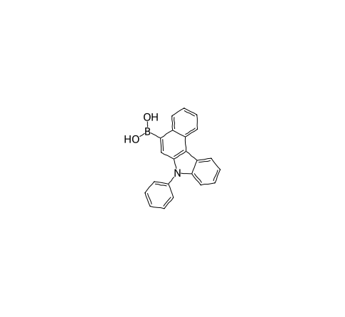 OB(O)c1cc2c(c3ccccc13)c1ccccc1n2-c1ccccc1